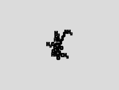 CCNC(CCCCN)CN(CC(C)=O)C(=O)Cn1cc(C)c(=O)[nH]c1=O